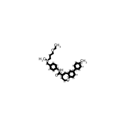 CCOCCCN(C)Cc1ccc(NC(=O)C2=Cc3cc(-c4ccc(C)cc4)ccc3OCC2)cc1